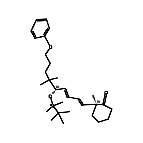 CC(C)(CCCOc1ccccc1)[C@H](C=CC=C[C@]1(C)CCCCC1=O)O[Si](C)(C)C(C)(C)C